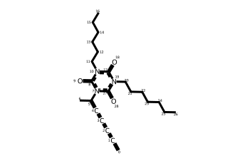 C=C=C=C=C=C(C)n1c(=O)n(CCCCCC)c(=O)n(CCCCCCC)c1=O